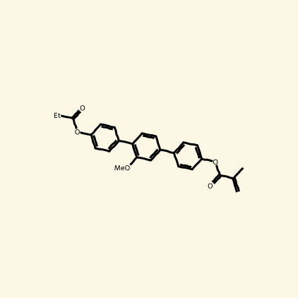 C=C(C)C(=O)Oc1ccc(-c2ccc(-c3ccc(OC(=O)CC)cc3)c(OC)c2)cc1